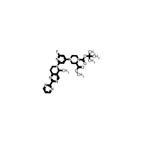 COC(=O)C1CN(c2cc(F)nc(N3CCc4nc(-c5ncccn5)ncc4C3C)c2)CCN1C(=O)OC(C)(C)C